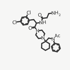 CC(=O)N(CC1(N2CCN(C(=O)C(Cc3ccc(Cl)cc3Cl)NC(=O)CCN)CC2)CCCCC1)c1ccccc1